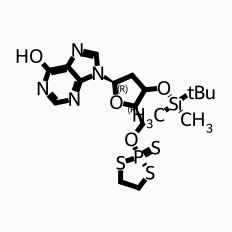 CC(C)(C)[Si](C)(C)OC1C[C@H](n2cnc3c(O)ncnc32)O[C@@H]1COP1(=S)SCCS1